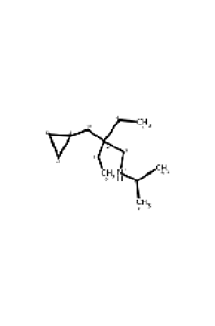 CCC(CC)(CNC(C)C)CC1CC1